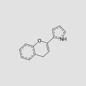 C1=C(c2ccc[nH]2)Oc2ccccc2C1